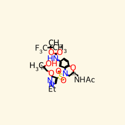 CCn1cc(S(=O)(=O)N2C[C@H](CNC(C)=O)Oc3ccc(NC(=O)OC(C)(C)C(F)(F)F)cc32)c(OC[C@H](C)O)n1